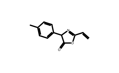 C=CC1=NC(c2ccc(C)cc2)C(=O)O1